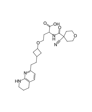 N#CC1(C(=O)NC(CCOC2CC(CCc3ccc4c(n3)NCCC4)C2)C(=O)O)CCOCC1